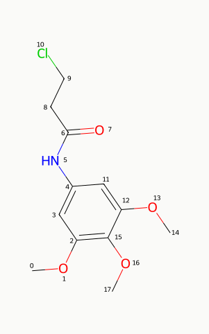 COc1cc(NC(=O)CCCl)cc(OC)c1OC